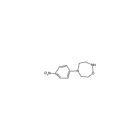 O=[N+]([O-])c1ccc(N2CCNOCC2)cc1